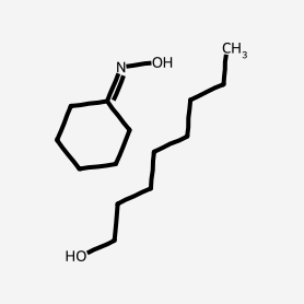 CCCCCCCCO.ON=C1CCCCC1